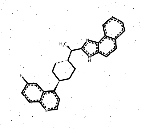 C[C@@H](c1nc2c(ccc3ccccc32)[nH]1)[C@H]1CC[C@H](c2ccnc3ccc(F)cc32)CC1